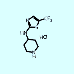 Cl.FC(F)(F)c1cnc(NC2CCNCC2)s1